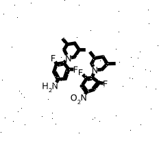 CC1CC(C)CN(c2c(F)cc(N)cc2F)C1.CC1CC(C)CN(c2c(F)cc([N+](=O)[O-])cc2F)C1